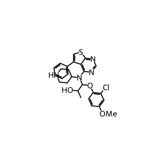 COc1ccc(OC(C(C)O)N(c2ncnc3scc(-c4ccccc4)c23)C2CCNCC2)c(Cl)c1